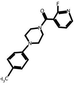 Cc1ccc(N2CCN(C(=O)c3cccnc3F)CC2)cc1